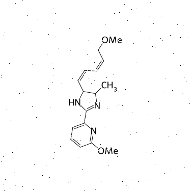 COC/C=C\C=C/C1NC(c2cccc(OC)n2)=NC1C